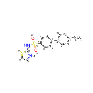 O=[N+]([O-])c1ccc(-c2ccc(S(=O)(=O)Nc3nccs3)cc2)cc1